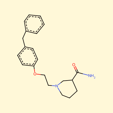 NC(=O)C1CCCN(CCOc2ccc(Cc3ccccc3)cc2)C1